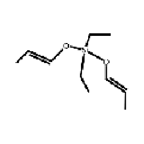 CC=CO[Si](CC)(CC)OC=CC